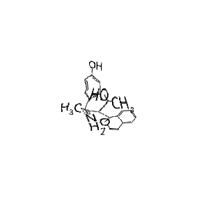 CC(O)C(C1OCCc2ccccc21)[C@](C)(N)c1ccc(O)cc1